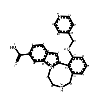 O=C(O)c1ccc2cc3n(c2c1)CCNCc1cccc(OCc2ccncc2)c1-3